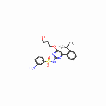 CC(C)c1ccccc1-c1cc(OCCCO)nc(NS(=O)(=O)c2cccc(N)c2)n1